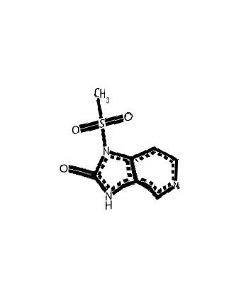 CS(=O)(=O)n1c(=O)[nH]c2cnccc21